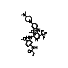 C=CC(=O)Nc1ccc(OC)c(Nc2ncc(C(F)(F)F)c(Nc3ccc(N4CCC(N(C)C)CC4)cc3OC)n2)c1